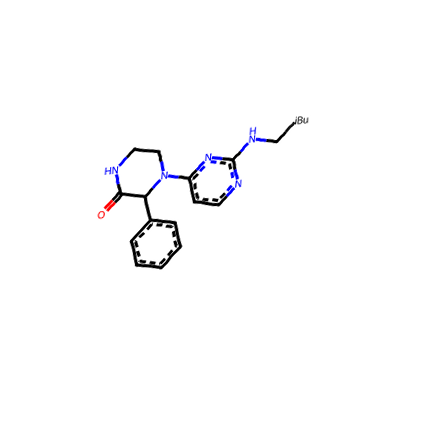 CCC(C)CNc1nccc(N2CCNC(=O)C2c2ccccc2)n1